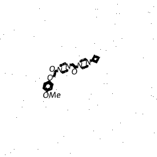 COc1ccc(OCC(=O)N2CCN(CC(=O)N3CCN(C4CCC4)CC3)CC2)cc1